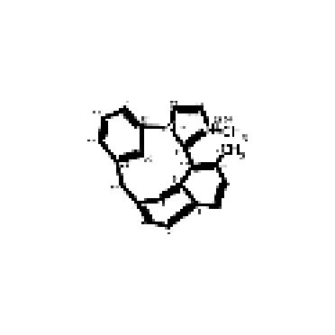 Cc1ccc2ccc3cc2c1-c1n(cc[n+]1C)-c1cccc(c1)C3